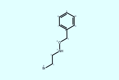 BrCCNOCc1ccccc1